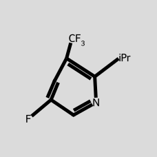 CC(C)c1ncc(F)cc1C(F)(F)F